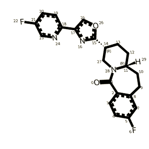 O=C1c2ccc(F)cc2CC[C@H]2CC[C@@H](c3nc(-c4ccc(F)cn4)co3)CN12